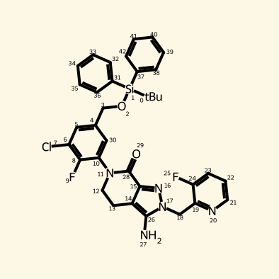 CC(C)(C)[Si](OCc1cc(Cl)c(F)c(N2CCc3c(nn(Cc4ncccc4F)c3N)C2=O)c1)(c1ccccc1)c1ccccc1